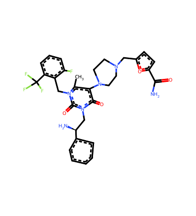 Cc1c(N2CCN(Cc3ccc(C(N)=O)o3)CC2)c(=O)n(C[C@H](N)c2ccccc2)c(=O)n1Cc1c(F)cccc1C(F)(F)F